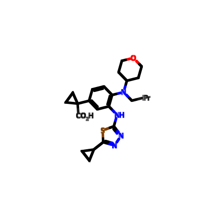 CC(C)CN(c1ccc(C2(C(=O)O)CC2)cc1Nc1nnc(C2CC2)s1)C1CCOCC1